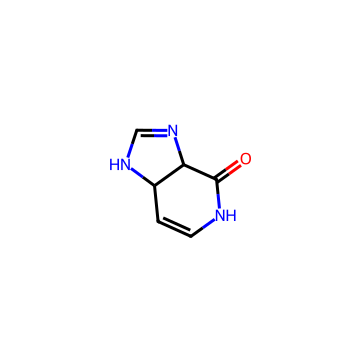 O=C1NC=CC2NC=NC12